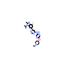 CCN1CCC(Oc2cnc(Nc3cc(-c4cc(F)c5nc(C)n(C(C)C)c5c4)ncn3)cn2)CC1